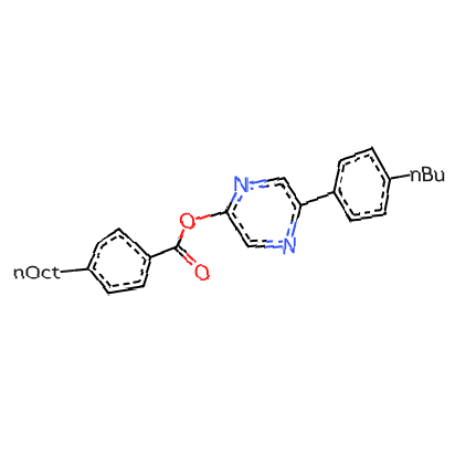 CCCCCCCCc1ccc(C(=O)Oc2cnc(-c3ccc(CCCC)cc3)cn2)cc1